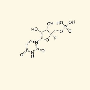 O=c1ccn(C2=C(O)[C@H](O)[C@@](F)(COP(=O)(O)O)O2)c(=O)[nH]1